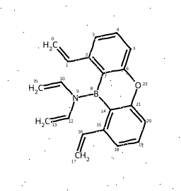 C=Cc1cccc2c1B(N(C=C)C=C)c1c(C=C)cccc1O2